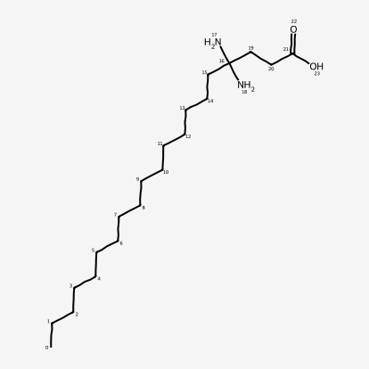 CCCCCCCCCCCCCCCCC(N)(N)CCC(=O)O